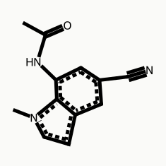 CC(=O)Nc1cc(C#N)cc2ccn(C)c12